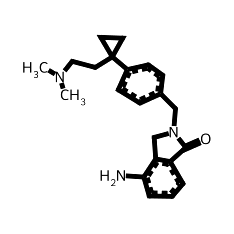 CN(C)CCC1(c2ccc(CN3Cc4c(N)cccc4C3=O)cc2)CC1